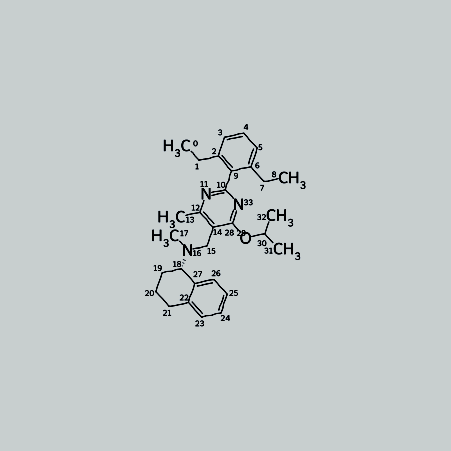 CCc1cccc(CC)c1-c1nc(C)c(CN(C)[C@H]2CCCc3ccccc32)c(OC(C)C)n1